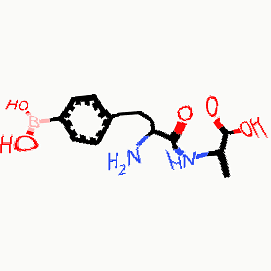 CC(NC(=O)C(N)Cc1ccc(B(O)O)cc1)C(=O)O